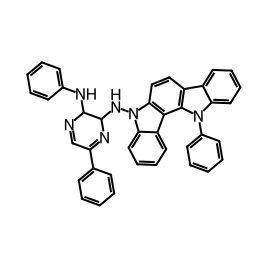 C1=NC(Nc2ccccc2)C(Nn2c3ccccc3c3c2ccc2c4ccccc4n(-c4ccccc4)c23)N=C1c1ccccc1